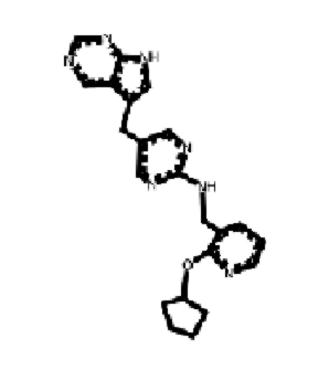 c1cnc(OC2CCCC2)c(CNc2ncc(Cc3c[nH]c4ncncc34)cn2)c1